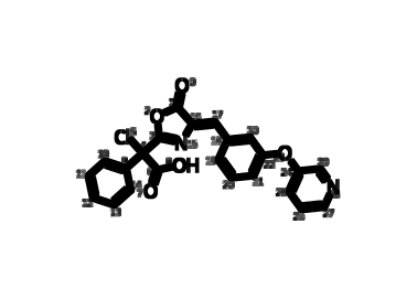 O=C1OC(C(Cl)(C(=O)O)c2ccccc2)=NC1=Cc1cccc(Oc2cccnc2)c1